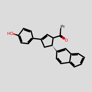 CC(C)C(=O)C1C=C(c2ccc(O)cc2)C[C@H]1c1ccc2ccccc2c1